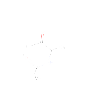 CCCC(NC(=O)OC)C(=O)CC